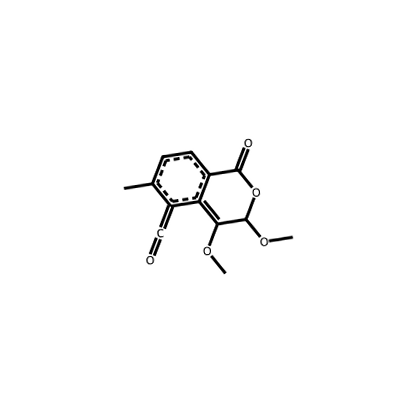 COC1=c2c(ccc(C)c2=C=O)C(=O)OC1OC